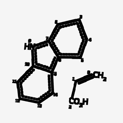 C=CC(=O)O.c1ccc2c(c1)[nH]c1ccccc12